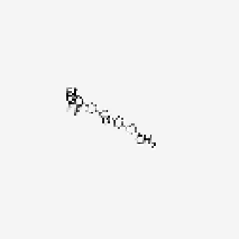 C=CC1CCC(C2CCC(C3CCC(C4CCC(c5ccc(OCC)c(F)c5F)CC4)CO3)CC2)CC1